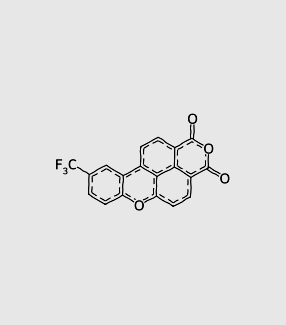 O=c1oc(=O)c2ccc3c4cc(C(F)(F)F)ccc4oc4ccc1c2c43